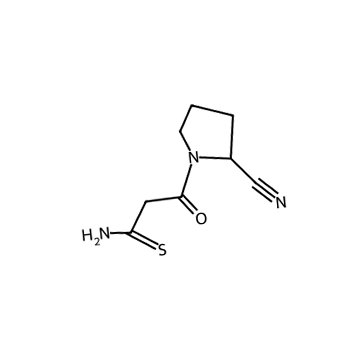 N#CC1CCCN1C(=O)CC(N)=S